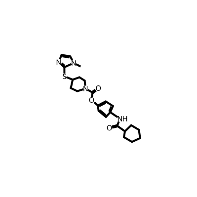 Cn1ccnc1SC1CCN(C(=O)Oc2ccc(NC(=O)C3CCCCC3)cc2)CC1